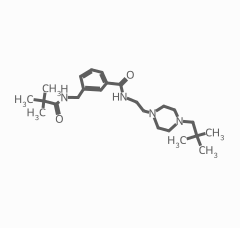 CC(C)(C)CN1CCN(CCNC(=O)c2cccc(CNC(=O)C(C)(C)C)c2)CC1